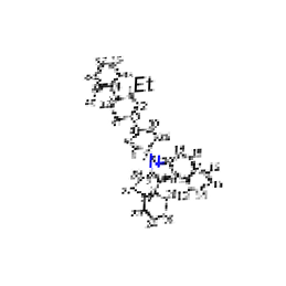 CCc1cc(-c2ccc(-n3c4c(c5c6ccccc6ccc53)C3=C(C=CCC3)CC4)cc2)ccc1-c1ccccc1C